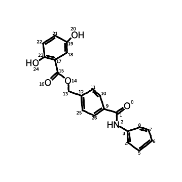 O=C(Nc1ccccc1)c1ccc(COC(=O)c2cc(O)ccc2O)cc1